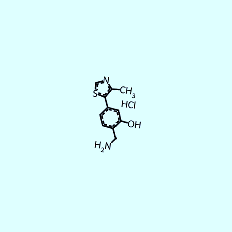 Cc1ncsc1-c1ccc(CN)c(O)c1.Cl